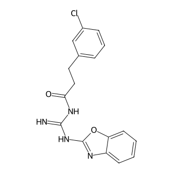 N=C(NC(=O)CCc1cccc(Cl)c1)Nc1nc2ccccc2o1